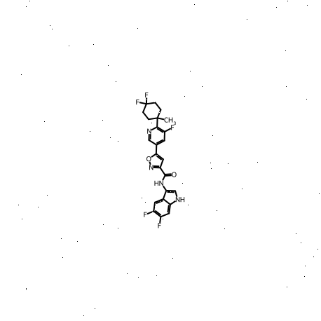 CC1(c2ncc(-c3cc(C(=O)Nc4c[nH]c5cc(F)c(F)cc45)no3)cc2F)CCC(F)(F)CC1